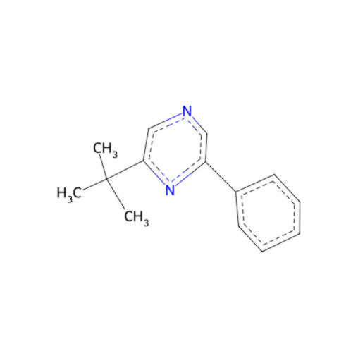 CC(C)(C)c1cncc(-c2ccccc2)n1